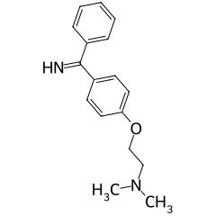 CN(C)CCOc1ccc(C(=N)c2ccccc2)cc1